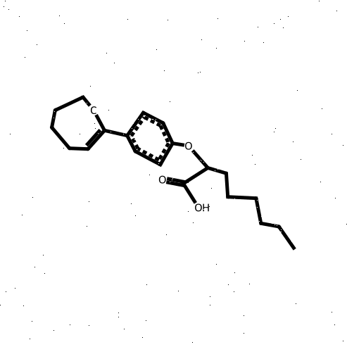 CCCCCCC(Oc1ccc(C2=CCCCCC2)cc1)C(=O)O